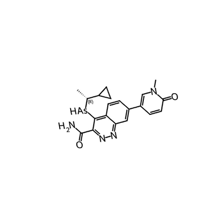 C[C@@H]([AsH]c1c(C(N)=O)nnc2cc(-c3ccc(=O)n(C)c3)ccc12)C1CC1